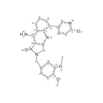 COc1ccc(CN2Cc3nc4c(-c5ccc(Cl)nc5)cccc4c(N)c3C2=O)cc1OC